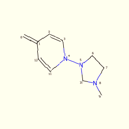 C=C1C=CN(N2CCN(C)C2)C=C1